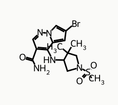 CC1(C)CN(S(C)(=O)=O)CC1Nc1c(C(N)=O)cnn2cc(Br)cc12